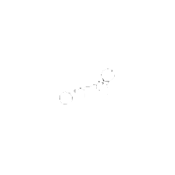 CC1C2CCCCCCCC(C2)C1(C)C(=O)C(N)CCCNC(=O)BOC1CCCCCCCCC1